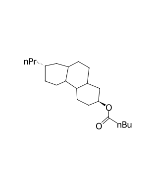 CCCCC(=O)O[C@H]1CCC2C(CCC3C[C@@H](CCC)CCC32)C1